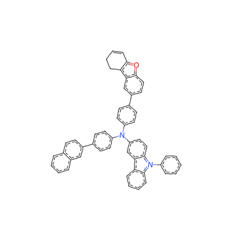 C1=Cc2oc3ccc(-c4ccc(N(c5ccc(-c6ccc7ccccc7c6)cc5)c5ccc6c(c5)c5ccccc5n6-c5ccccc5)cc4)cc3c2CC1